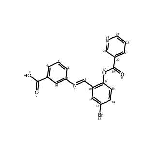 O=C(O)c1cccc(/N=C/c2cc(Br)ccc2OC(=O)c2cccnc2)c1